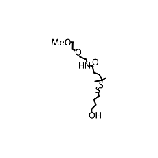 COCCOCCNC(=O)CCC(C)(C)SSCCCCO